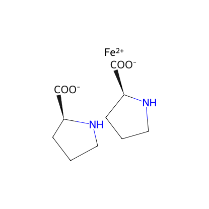 O=C([O-])[C@@H]1CCCN1.O=C([O-])[C@@H]1CCCN1.[Fe+2]